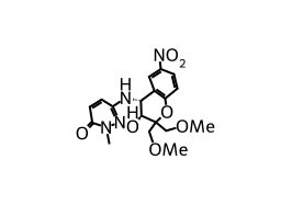 COCC1(COC)Oc2ccc([N+](=O)[O-])cc2[C@@H](Nc2ccc(=O)n(C)n2)[C@@H]1O